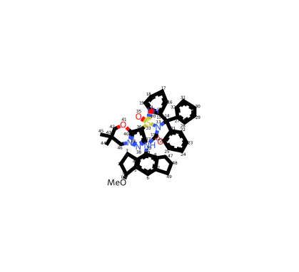 COC1CCc2c1cc1c(c2NC(=O)N(C(c2ccccc2)(c2ccccc2)c2ccccc2)S(=N)(=O)c2cnn3c2OCC(C)(C)C3)CCC1